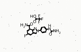 NC(=O)Nc1ccc(-n2cc3cc(F)cc(C(N)=O)c3n2)cc1.O=C(O)C(F)(F)F